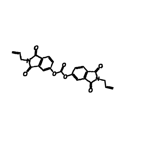 C=CCN1C(=O)c2ccc(OC(=O)Oc3ccc4c(c3)C(=O)N(CC=C)C4=O)cc2C1=O